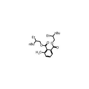 CCCCC(CC)COC(=O)c1cccc(C)c1C(=O)OCC(CC)CCCC